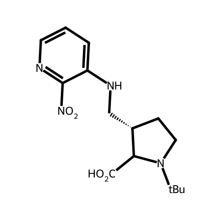 CC(C)(C)N1CC[C@@H](CNc2cccnc2[N+](=O)[O-])C1C(=O)O